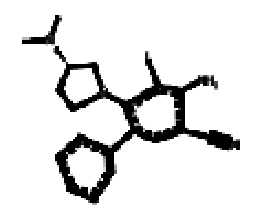 CN(C)[C@H]1CCN(c2c(-c3ccccc3)cc(C#N)c(N)c2I)C1